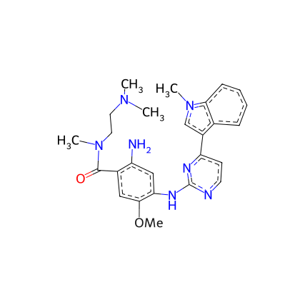 COc1cc(C(=O)N(C)CCN(C)C)c(N)cc1Nc1nccc(-c2cn(C)c3ccccc23)n1